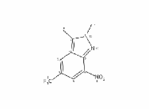 Cc1c2cc(C(F)(F)F)cc([N+](=O)[O-])c2nn1C